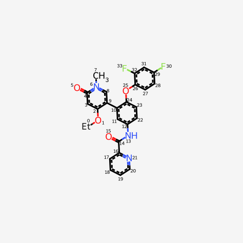 CCOc1cc(=O)n(C)cc1-c1cc(NC(=O)c2ccccn2)ccc1Oc1ccc(F)cc1F